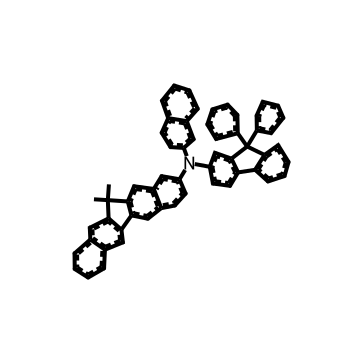 CC1(C)c2cc3ccccc3cc2-c2cc3ccc(N(c4ccc5c(c4)C(c4ccccc4)(c4ccccc4)c4ccccc4-5)c4ccc5ccccc5c4)cc3cc21